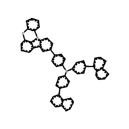 c1ccc2c(c1)Oc1cccc3c4cc(-c5ccc(N(c6ccc(-c7cccc8ccccc78)cc6)c6ccc(-c7cccc8ccccc78)cc6)cc5)ccc4n-2c13